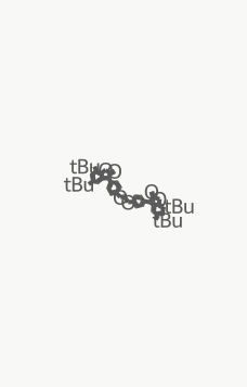 CC(C)(C)c1cc2c(c(C(C)(C)C)c1)OC(=O)C2c1ccc(OCOc2ccc(C3C(=O)Oc4c3cc(C(C)(C)C)cc4C(C)(C)C)cc2)cc1